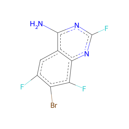 Nc1nc(F)nc2c(F)c(Br)c(F)cc12